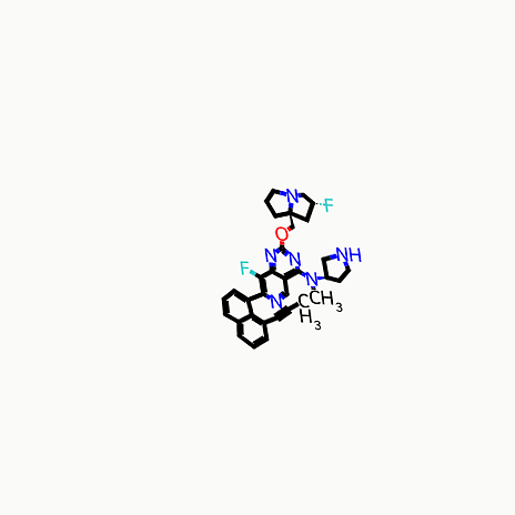 CC#Cc1cccc2cccc(-c3ncc4c(N(C)[C@@H]5CCNC5)nc(OC[C@@]56CCCN5C[C@H](F)C6)nc4c3F)c12